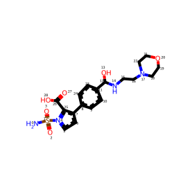 NS(=O)(=O)n1ccc(-c2ccc(C(O)NCCN3CCOCC3)cc2)c1C(=O)O